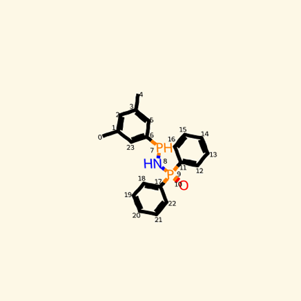 Cc1cc(C)cc(PNP(=O)(c2ccccc2)c2ccccc2)c1